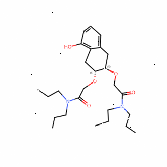 CCCN(CCC)C(=O)CO[C@@H]1Cc2cccc(O)c2C[C@H]1OCC(=O)N(CCC)CCC